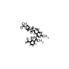 CC(=O)N1CC2CC1CN2S(=O)(=O)c1cc2c(N[C@H](C)c3cccc(C(F)F)c3F)nc(C)nc2cn1